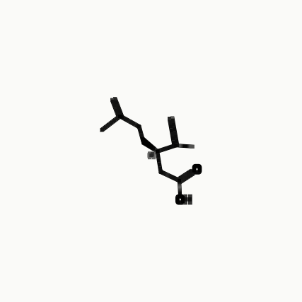 C=C(C)CC[C@H](CC(=O)O)C(=C)C